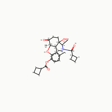 Cc1ccc(OC(=O)C2CCC2)c2c1[C@]13CCN(C(=O)C4CCC4)C(C)C1(O)CCC(=O)[C@@H]3O2